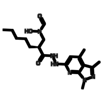 CCCCC[C@@H](CN(O)C=O)C(=O)NNc1cc(C)c2c(C)nn(C)c2n1